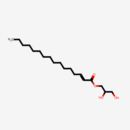 CCCCCCCCCCCCCC=CC(=O)OCC(O)CO